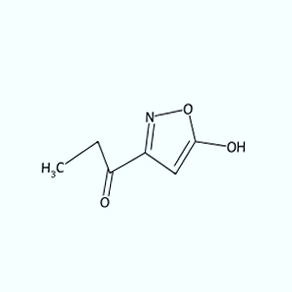 CCC(=O)c1cc(O)on1